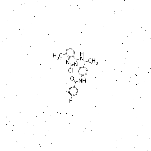 Cc1cccc2c(NC(C)c3ccc(NC(=O)c4ccc(F)cc4)cc3)nc(Cl)nc12